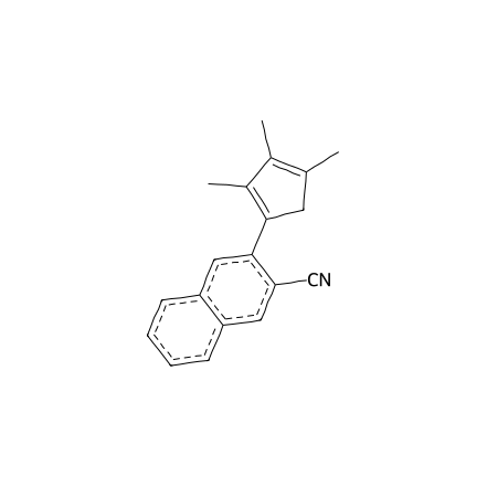 CC1=C(C)C(C)=C(c2cc3ccccc3cc2C#N)C1